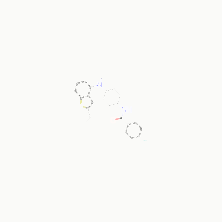 CCc1cc2c(N(C)[C@H]3CC[C@@H](NC(=O)c4ccc(F)cc4)CC3)cccc2s1